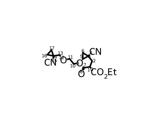 CCOC(=O)C(CC1(C#N)CC1)C(=O)OCCOCC1(C#N)CC1